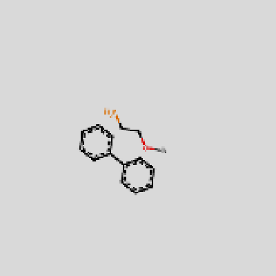 CCOCCP.c1ccc(-c2ccccc2)cc1